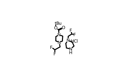 CC(C)(C)OC(=O)N1CCN(CC(F)F)CC1.Cl.FC(F)CN1CCNCC1